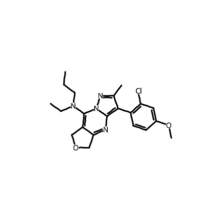 CCCN(CC)c1c2c(nc3c(-c4ccc(OC)cc4Cl)c(C)nn13)COC2